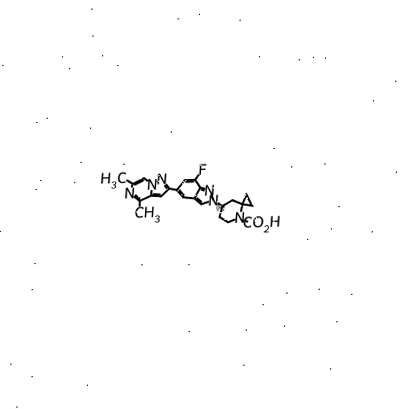 Cc1cn2nc(-c3cc(F)c4nn([C@@H]5CCN(C(=O)O)C6(CC6)C5)cc4c3)cc2c(C)n1